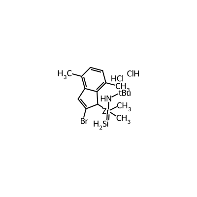 Cc1ccc(C)c2c1C=C(Br)[CH]2[Zr]([CH3])([CH3])(=[SiH2])[NH]C(C)(C)C.Cl.Cl